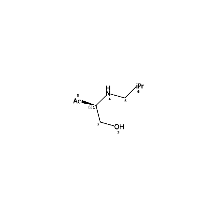 CC(=O)[C@H](CO)NCC(C)C